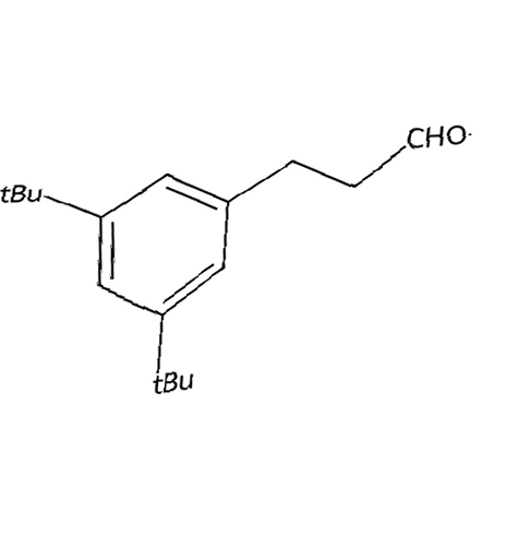 CC(C)(C)c1cc(CC[C]=O)cc(C(C)(C)C)c1